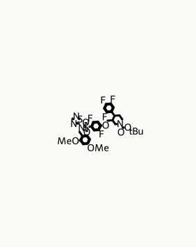 COc1ccc(CN(c2ncns2)S(=O)(=O)c2cc(F)c(OCC3CN(C(=O)OC(C)(C)C)CCC3c3cc(F)c(F)cc3F)cc2F)c(OC)c1